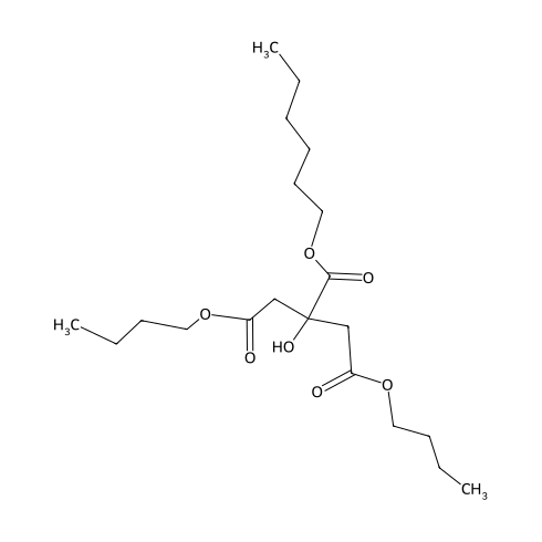 CCCCCCOC(=O)C(O)(CC(=O)OCCCC)CC(=O)OCCCC